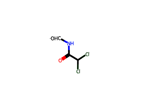 O=[C]NC(=O)C(Cl)Cl